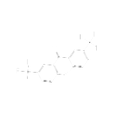 O=c1c2cc(C(F)(F)F)ccc2sc2ccc(C(F)(F)F)cc12